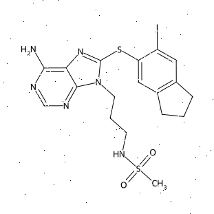 CS(=O)(=O)NCCCn1c(Sc2cc3c(cc2I)CCC3)nc2c(N)ncnc21